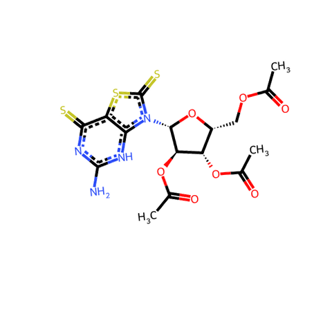 CC(=O)OC[C@H]1O[C@@H](n2c(=S)sc3c(=S)nc(N)[nH]c32)[C@H](OC(C)=O)[C@H]1OC(C)=O